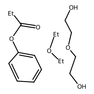 CCC(=O)Oc1ccccc1.CCOCC.OCCOCCO